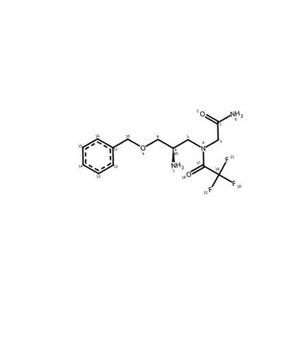 NC(=O)CN(C[C@@H](N)COCc1ccccc1)C(=O)C(F)(F)F